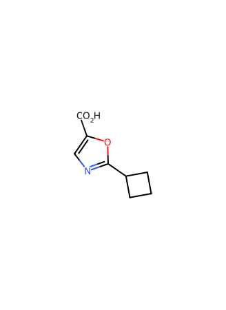 O=C(O)c1cnc(C2CCC2)o1